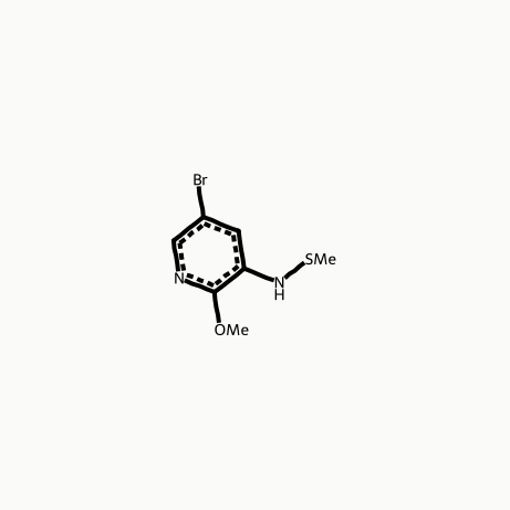 COc1ncc(Br)cc1NSC